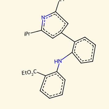 CCOC(=O)c1ccccc1Nc1ccccc1-c1cc(C(C)C)nc(C(C)C)c1